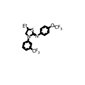 CCC1CN(c2cccc(C(F)(F)F)c2)C(=Nc2ccc(OC(F)(F)F)cc2)S1